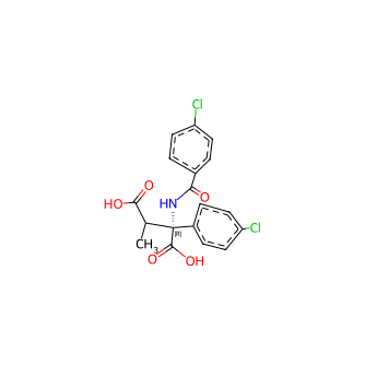 CC(C(=O)O)[C@](NC(=O)c1ccc(Cl)cc1)(C(=O)O)c1ccc(Cl)cc1